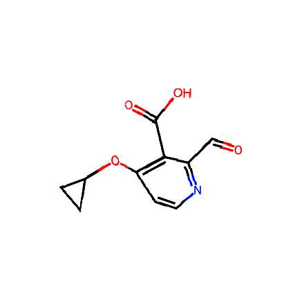 O=Cc1nccc(OC2CC2)c1C(=O)O